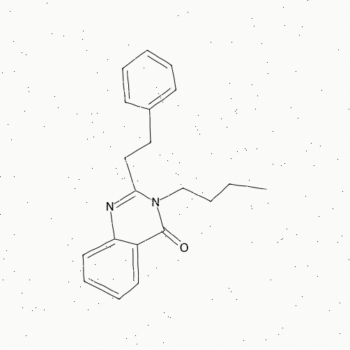 CCCCn1c(CCc2ccccc2)nc2ccccc2c1=O